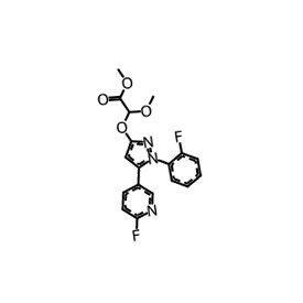 COC(=O)C(OC)Oc1cc(-c2ccc(F)nc2)n(-c2ccccc2F)n1